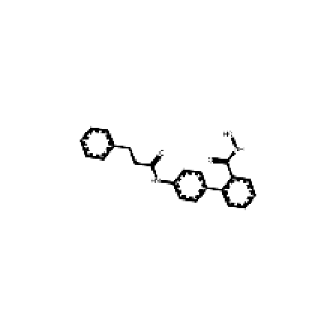 O=C(CCc1ccccc1)Nc1ccc(-c2ccccc2C(=O)NO)cc1